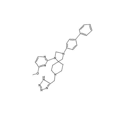 COc1ccnc(N2CN(c3ccc(-c4ccccc4)cc3)CC23CCN(Cc2nnn[nH]2)CC3)n1